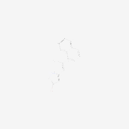 N#C/C(=C\c1cc(Br)c[nH]1)c1cccc2ccccc12